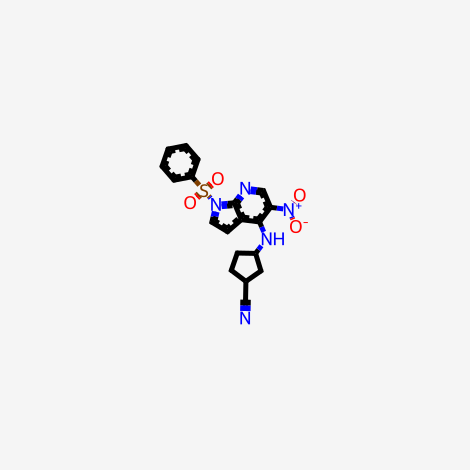 N#CC1CCC(Nc2c([N+](=O)[O-])cnc3c2ccn3S(=O)(=O)c2ccccc2)C1